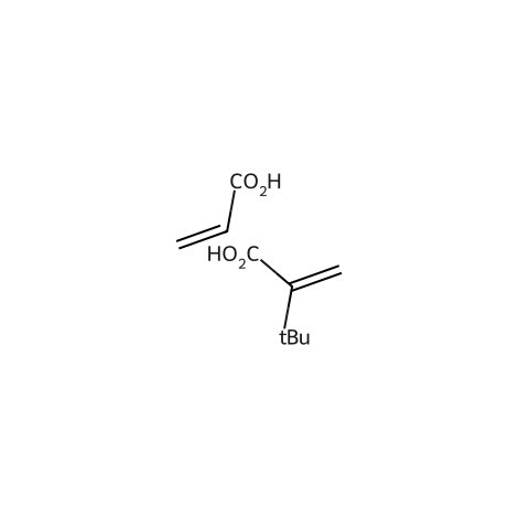 C=C(C(=O)O)C(C)(C)C.C=CC(=O)O